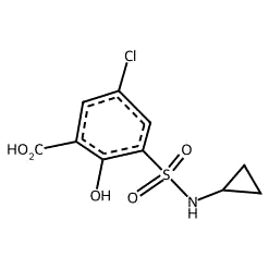 O=C(O)c1cc(Cl)cc(S(=O)(=O)NC2CC2)c1O